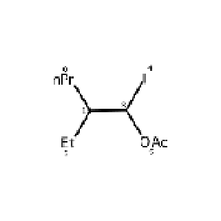 CCCC(CC)C(I)OC(C)=O